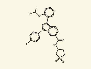 O=C(NC1CCS(=O)(=O)C1)c1ccc2c(-c3ccccc3OC(F)F)cn(-c3ccc(F)cc3)c2c1